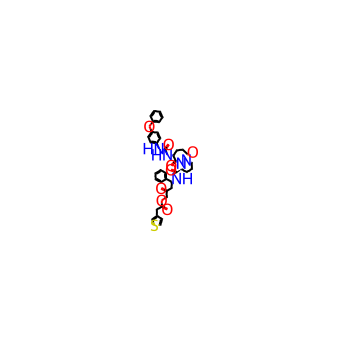 O=C(COC(=O)Cc1ccsc1)CC(NC(=O)[C@@H]1CCCN2C(=O)CCC(NC(=O)Nc3ccc(Oc4ccccc4)cc3)C(=O)N12)c1ccccc1